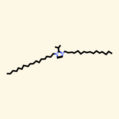 CCCCCCCCCCCCCCCCCN1C=CN(CCCCCCCCCCCCCCCC)C1C(C)C